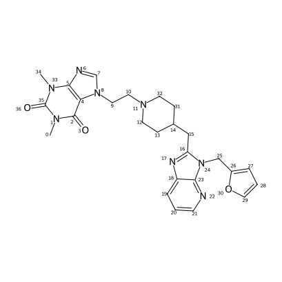 Cn1c(=O)c2c(ncn2CCN2CCC(Cc3nc4cccnc4n3Cc3ccco3)CC2)n(C)c1=O